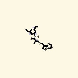 C\C=C/C=C(\C=C(/C)CC)NC(=S)/C(C)=C/SCc1cnn2cccnc12